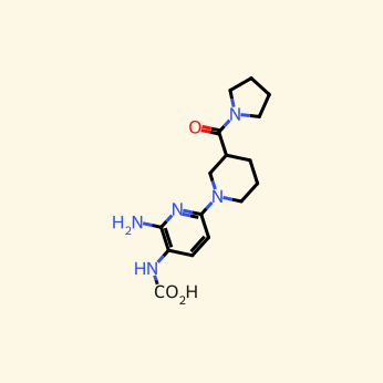 Nc1nc(N2CCCC(C(=O)N3CCCC3)C2)ccc1NC(=O)O